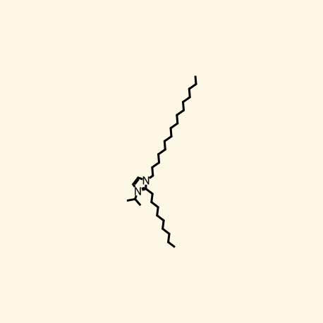 CCCCCCCCCCCCCCCCn1cc[n+](C(C)C)c1CCCCCCCCC